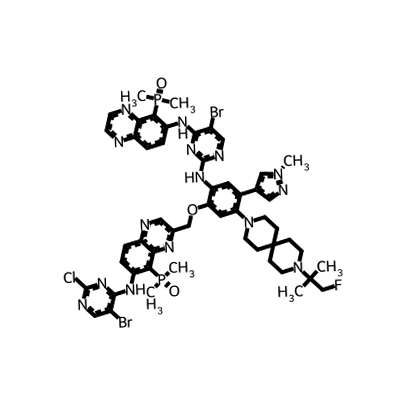 Cn1cc(-c2cc(Nc3ncc(Br)c(Nc4ccc5nccnc5c4P(C)(C)=O)n3)c(OCc3cnc4ccc(Nc5nc(Cl)ncc5Br)c(P(C)(C)=O)c4n3)cc2N2CCC3(CC2)CCN(C(C)(C)CF)CC3)cn1